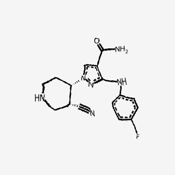 N#C[C@@H]1CNCC[C@@H]1n1cc(C(N)=O)c(Nc2ccc(F)cc2)n1